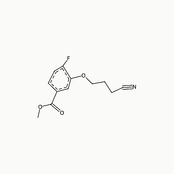 COC(=O)c1ccc(F)c(OCCCC#N)c1